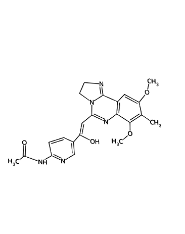 COc1cc2c(c(OC)c1C)N=C(/C=C(\O)c1ccc(NC(C)=O)nc1)N1CCN=C21